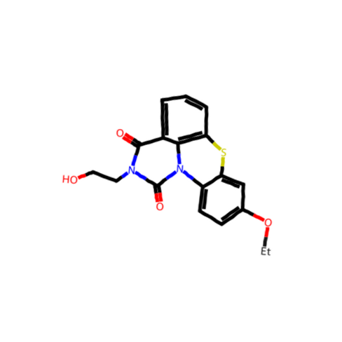 CCOc1ccc2c(c1)Sc1cccc3c(=O)n(CCO)c(=O)n-2c13